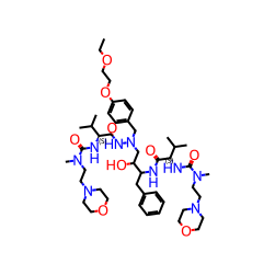 CCOCCOc1ccc(CN(CC(O)C(Cc2ccccc2)NC(=O)[C@@H](NC(=O)N(C)CCN2CCOCC2)C(C)C)NC(=O)[C@@H](NC(=O)N(C)CCN2CCOCC2)C(C)C)cc1